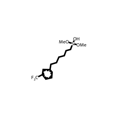 CO[Si](O)(CCCCCCc1cccc(C(F)(F)F)c1)OC